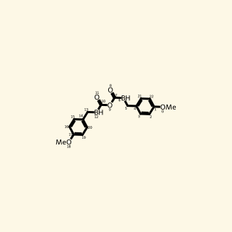 COc1ccc(CBC(=O)OC(=O)BCc2ccc(OC)cc2)cc1